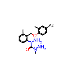 CC(=O)c1ccc(OCc2c(C)cccc2N(N)C(=O)N(C)N)c(C)c1